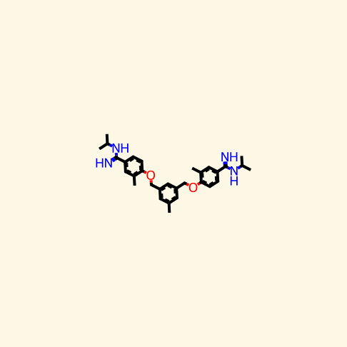 Cc1cc(COc2ccc(C(=N)NC(C)C)cc2C)cc(COc2ccc(C(=N)NC(C)C)cc2C)c1